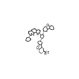 CCC1=Cc2c(oc3ccc(-c4ccc(-c5ccc6oc7ccccc7c6c5)c(-c5ccc6ccc7ccc(-c8ccccc8)nc7c6n5)c4)cc23)CC1